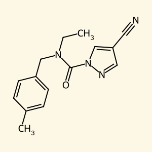 CCN(Cc1ccc(C)cc1)C(=O)n1cc(C#N)cn1